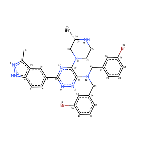 Cc1n[nH]c2ccc(-c3nnc(N(Cc4cccc(Br)c4)Cc4cccc(Br)c4)c(N4CCN[C@@H](C(C)C)C4)n3)cc12